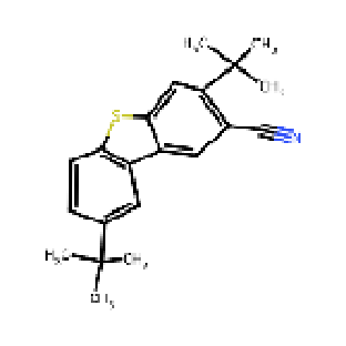 CC(C)(C)c1ccc2sc3cc(C(C)(C)C)c(C#N)cc3c2c1